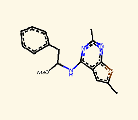 COC(Cc1ccccc1)Nc1nc(C)nc2sc(C)cc12